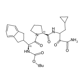 CC(C)(C)OC(=O)N[C@H](C(=O)N1CCC[C@H]1C(=O)NC(CC1CC1)C(=O)C(N)=O)C1Cc2ccccc2C1